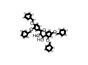 OC1c2c(OCc3ccccc3)cc(OCc3ccccc3)cc2OC(c2ccc(OCc3ccccc3)c(OCc3ccccc3)c2)C1O